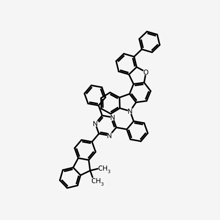 CC1(C)c2ccccc2-c2ccc(-c3nc(-c4ccccc4)nc(-c4ccccc4-n4c5ccccc5c5c6c(ccc54)oc4c(-c5ccccc5)cccc46)n3)cc21